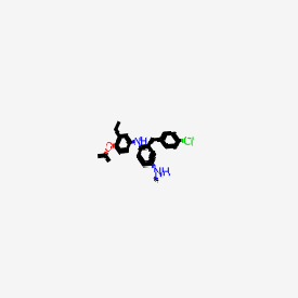 CCc1cc(Nc2ccc(NC)cc2Cc2ccc(Cl)cc2)ccc1OC(C)C